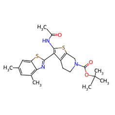 CC(=O)Nc1sc2c(c1-c1nc3c(C)cc(C)cc3s1)CCN(C(=O)OC(C)(C)C)C2